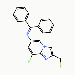 FCc1cn2cc(N=C(c3ccccc3)c3ccccc3)cc(F)c2n1